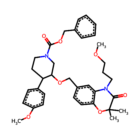 COCCCN1C(=O)C(C)(C)Oc2ccc(COC3CN(C(=O)OCc4ccccc4)CCC3c3ccc(OC)cc3)cc21